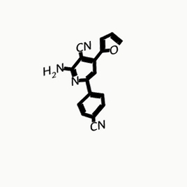 N#Cc1ccc(-c2cc(-c3ccco3)c(C#N)c(N)n2)cc1